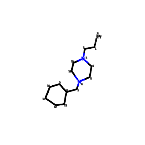 CC(C)CCN1CCN(CC2CCCCC2)CC1